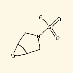 O=S(=O)(F)N1CC2OC2C1